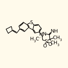 CC1(C)C(=N)N[C@](C)(c2ccc3sc4ccc(C=C5CCC5)cc4c3c2)CS1(=O)=O